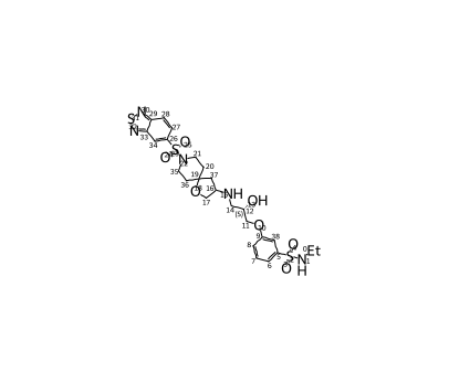 CCNS(=O)(=O)c1cccc(OC[C@@H](O)CNC2COC3(CCN(S(=O)(=O)c4ccc5nsnc5c4)CC3)C2)c1